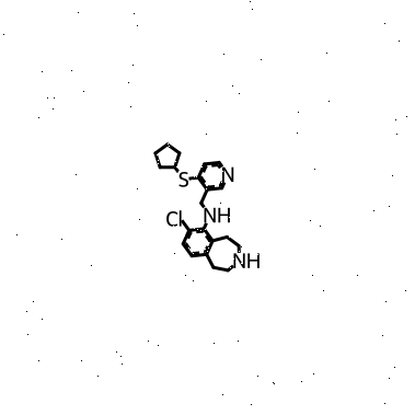 Clc1ccc2c(c1NCc1cnccc1SC1CCCC1)CCNCC2